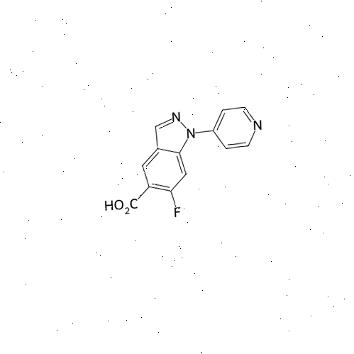 O=C(O)c1cc2cnn(-c3ccncc3)c2cc1F